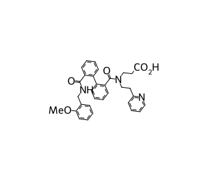 COc1ccccc1CNC(=O)c1ccccc1-c1ccccc1C(=O)N(CCC(=O)O)CCc1ccccn1